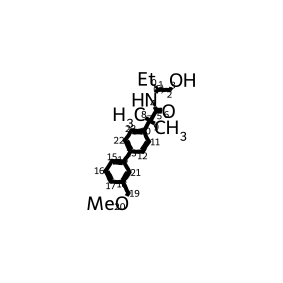 CC[C@@H](CO)NC(=O)C(C)(C)c1ccc(-c2cccc(COC)c2)cc1